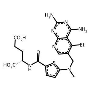 CCc1c(CN(C)c2ccc(C(=O)N[C@@H](CCC(=O)O)C(=O)O)s2)cnc2nc(N)nc(N)c12